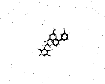 CC1=CN(C)C(=O)C(NC(=O)NC(CC(=O)O)c2cccc(-c3cccc(C)c3)c2)C1=O